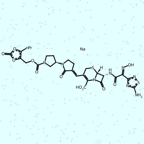 CCCc1oc(=O)oc1COC(=O)N1CC[C@@H](N2CCC(=CC3=C(C(=O)O)N4C(=O)[C@@H](NC(=O)C(=NO)c5nsc(N)n5)[C@H]4SC3)C2=O)C1.[Na]